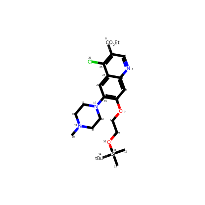 CCOC(=O)c1cnc2cc(OCCO[Si](C)(C)C(C)(C)C)c(N3CCN(C)CC3)cc2c1Cl